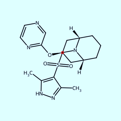 Cc1n[nH]c(C)c1S(=O)(=O)CN1[C@@H]2CCC[C@H]1C[C@H](Oc1cnccn1)C2